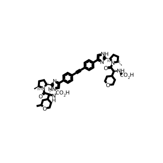 CC1CC([C@](C)(NC(=O)O)C(=O)N2[C@@H](C)CC[C@H]2c2nc(-c3ccc(C#Cc4ccc(-c5c[nH]c([C@@H]6CC[C@H](C)N6C(=O)[C@@H](NC(=O)O)C6CCOCC6)n5)cc4)cc3)c[nH]2)CCO1